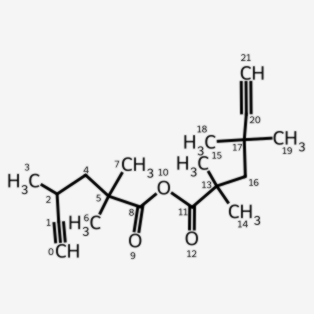 C#CC(C)CC(C)(C)C(=O)OC(=O)C(C)(C)CC(C)(C)C#C